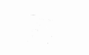 C#CCCC(=O)O.CC(=O)Nc1c(I)c(NC(C)=O)c(I)c(C(=O)O)c1I